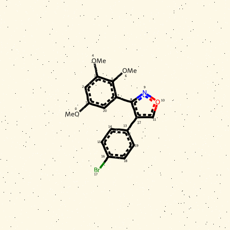 COc1cc(OC)c(OC)c(-c2nocc2-c2ccc(Br)cc2)c1